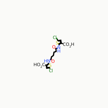 O=C(CCCCC(=O)Nc1sc(Cl)cc1C(=O)O)Nc1sc(Cl)cc1C(=O)O